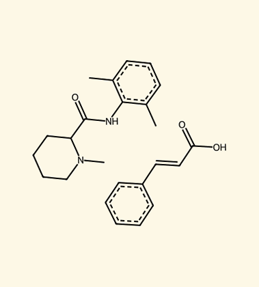 Cc1cccc(C)c1NC(=O)C1CCCCN1C.O=C(O)/C=C/c1ccccc1